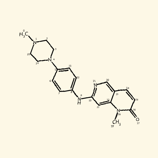 CN1CCN(c2ccc(Nc3cc4c(ccc(=O)n4C)cn3)cc2)CC1